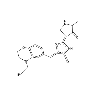 CC(C)CN1CCOc2ccc(/C=c3\s/c(=C4\CNC(C)C4=O)[nH]c3=O)cc21